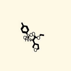 CCOC(=O)[C@H](NS(=O)(=O)c1ccc(C)cc1)C1CCOC1